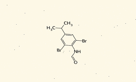 CC(C)c1cc(Br)c(NC=O)c(Br)c1